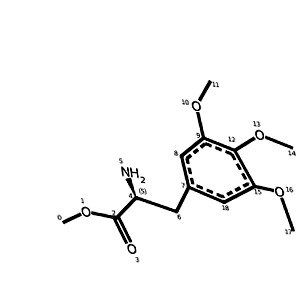 COC(=O)[C@@H](N)Cc1cc(OC)c(OC)c(OC)c1